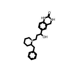 O=C1NCc2cc(C(O)CCN3CCCCC3Cc3ccccc3)ccc2N1